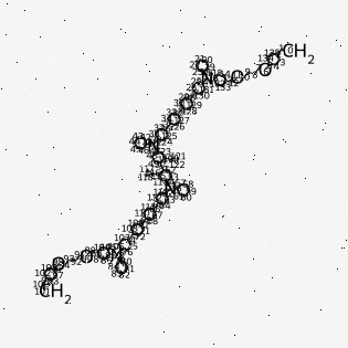 C=Cc1ccc(OCCCCOCc2ccc(N(c3ccccc3)c3ccc(-c4ccc(-c5ccc(-c6ccc(N(c7ccccc7)c7ccc(-c8ccc(N(c9ccccc9)c9ccc(-c%10ccc(-c%11ccc(-c%12ccc(N(c%13ccccc%13)c%13ccc(COCCCCOc%14ccc(C=C)cc%14)cc%13)cc%12)cc%11)cc%10)cc9)cc8C8CC8)c(C8CC8)c7)cc6)cc5)cc4)cc3)cc2)cc1